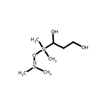 C[SiH](C)O[Si](C)(C)C(O)CCO